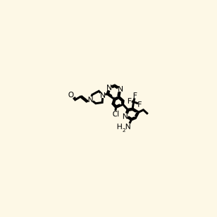 CCc1cc(N)nc(-c2cc3ncnc(N4CCN(C=CC=O)CC4)c3cc2Cl)c1C(F)(F)F